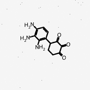 Nc1ccc(C2CCC(=O)C(=O)C2=O)c(N)c1N